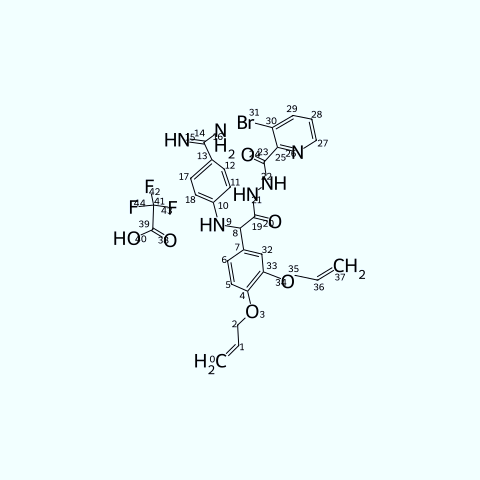 C=CCOc1ccc(C(Nc2ccc(C(=N)N)cc2)C(=O)NNC(=O)c2ncccc2Br)cc1OCC=C.O=C(O)C(F)(F)F